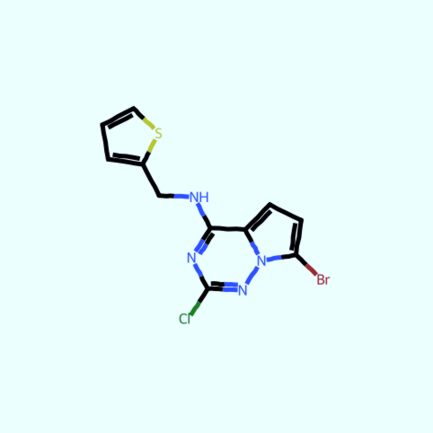 Clc1nc(NCc2cccs2)c2ccc(Br)n2n1